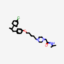 CC(C)NC(=O)CN1CCN(CCCCCOc2ccc(CC(C)c3ccc(Cl)cc3)cc2)CC1